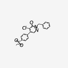 CS(=O)(=O)c1ccc(-c2cnn(Cc3ccccc3)c(=O)c2Cl)cc1